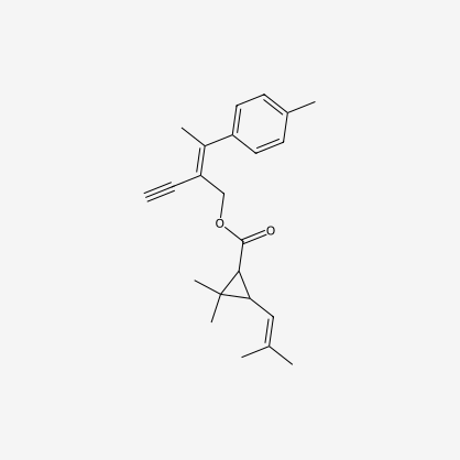 C#CC(COC(=O)C1C(C=C(C)C)C1(C)C)=C(C)c1ccc(C)cc1